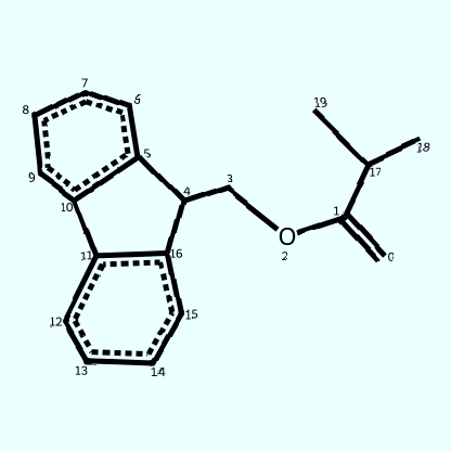 C=C(OCC1c2ccccc2-c2ccccc21)C(C)C